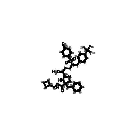 C=C(CCN(Cc1ccc(C(F)(F)F)cc1)S(=O)(=O)c1ccc(F)cc1)C1=NCC(Cc2ccccc2)(C(=O)NCC2CCC2)N1